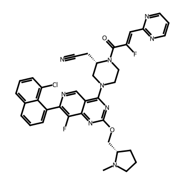 CN1CCC[C@H]1COc1nc(N2CCN(C(=O)/C(F)=C/c3ncccn3)[C@@H](CC#N)C2)c2cnc(-c3cccc4cccc(Cl)c34)c(F)c2n1